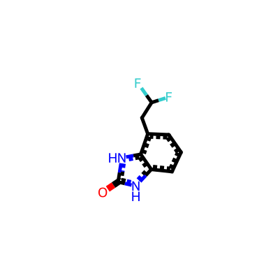 O=c1[nH]c2cccc(CC(F)F)c2[nH]1